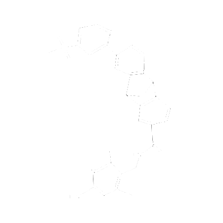 Cc1cc(N)nc(C)c1CNC(=O)c1ccc2c(c1)C1OC2c2ccc(-c3cccc(S(C)(=O)=O)c3)cc21